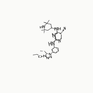 CCON1N=NN(c2cccc(Nc3ncc(C#N)c(NC4CC(C)(C)NC(C)(C)C4)n3)c2)C1CC